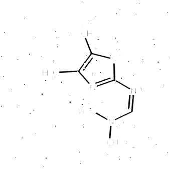 Cc1nc(/N=C\N(C)C)sc1C